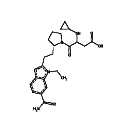 CCn1c(CC[C@@H]2CCCN2C(=O)C(CC(=O)O)NC2CC2)cc2ccc(C(=N)N)cc21